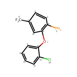 FC(F)(F)c1ccc(P)c(Oc2ccccc2Cl)c1